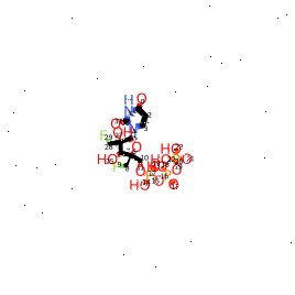 O=c1ccn([C@@H]2O[C@](CF)(COP(=O)(O)OP(=O)(O)OP(=O)(O)O)C(O)[C@]2(O)CF)c(=O)[nH]1